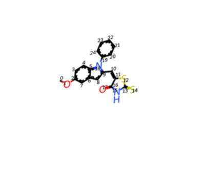 COc1ccc2c(c1)cc(C=C1SC(=S)NC1=O)n2-c1ccccc1